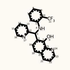 Oc1c(C(Nc2ccccc2C(F)(F)F)c2ccccn2)ccc2cccnc12